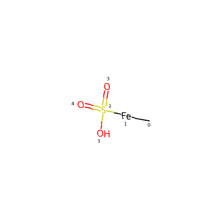 [CH3][Fe][S](=O)(=O)O